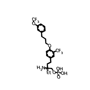 CC[C@@](N)(CCc1ccc(OCCCc2cccc(OC(F)(F)F)c2)c(C(F)(F)F)c1)COP(=O)(O)O